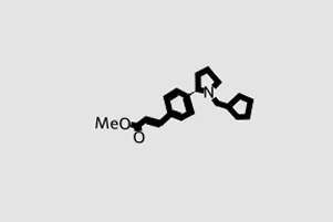 COC(=O)C=Cc1ccc([C@@H]2CCCN2CC2CCCC2)cc1